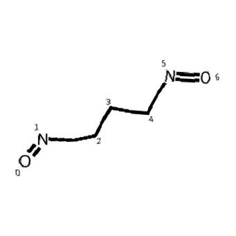 O=NCCCN=O